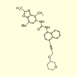 Cc1nc2c(C)c(NC(=O)Nc3ccc(C#CCOC4CCCOC4)c4ccccc34)cc(C(C)(C)C)c2o1